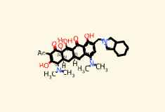 CC(=O)C1=C(O)[C@@H](N(C)C)[C@@H]2C[C@@H]3Cc4c(N(C)C)cc(CN5CC6CCCCC6C5)c(O)c4C(=O)C3=C(O)[C@]2(O)C1=O